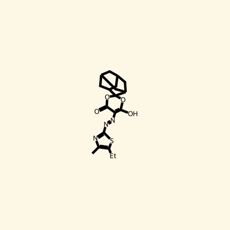 CCc1sc(N=NC2=C(O)OC3(OC2=O)C2CC4CC(C2)CC3C4)nc1C